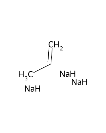 C=CC.[NaH].[NaH].[NaH]